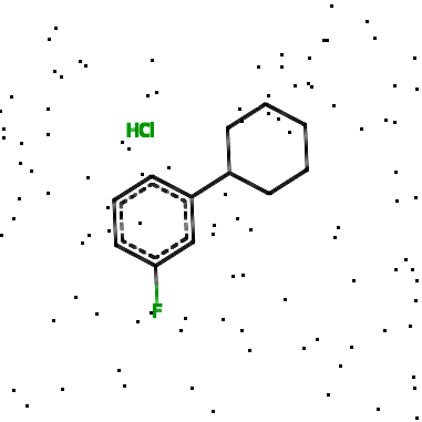 Cl.Fc1cccc(C2CCCCC2)c1